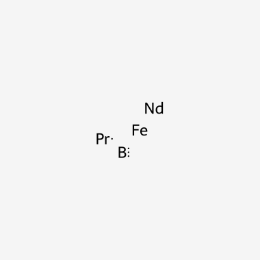 [B].[Fe].[Nd].[Pr]